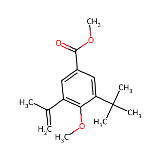 C=C(C)c1cc(C(=O)OC)cc(C(C)(C)C)c1OC